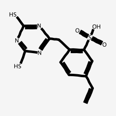 C=Cc1ccc(Cc2nc(S)nc(S)n2)c(S(=O)(=O)O)c1